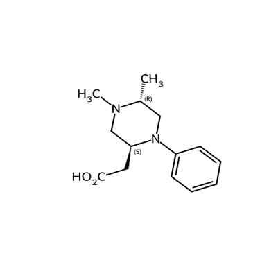 C[C@@H]1CN(c2ccccc2)[C@@H](CC(=O)O)CN1C